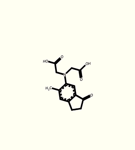 Cc1cc2c(cc1N(CC(=O)O)CC(=O)O)C(=O)CC2